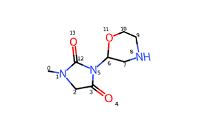 CN1CC(=O)N(C2CNCCO2)C1=O